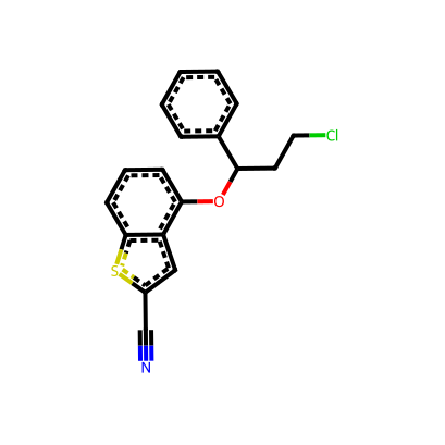 N#Cc1cc2c(OC(CCCl)c3ccccc3)cccc2s1